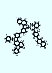 c1ccc(-n2c3ccc(-c4ccc5c(c4)c4c6ccccc6ccc4n5-c4nc(-c5ccc(-c6ccc7ccccc7c6)cc5)c5ccccc5n4)cc3c3c4cccc5c4c(cc32)-c2ccccc2-5)cc1